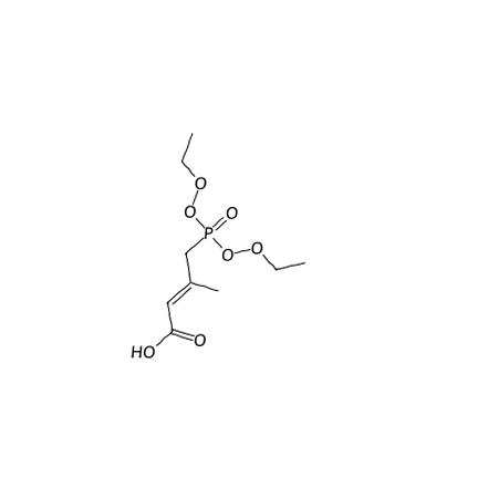 CCOOP(=O)(C/C(C)=C/C(=O)O)OOCC